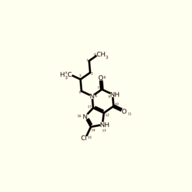 CCCC(C)Cn1c(=O)[nH]c(=O)c2[nH]c(Cl)nc21